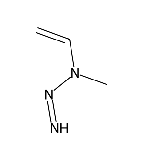 C=CN(C)N=N